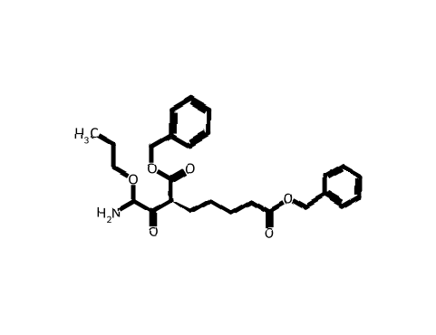 CCCOC(N)C(=O)[C@H](CCCCC(=O)OCc1ccccc1)C(=O)OCc1ccccc1